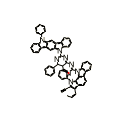 C#Cc1c(/C=C\C)c2ccc3c4ccccc4n(C4=NC5=NC(n6c7ccccc7c7cc8c(cc76)c6ccccc6n8-c6ccccc6)=NC(c6ccccc6)C5C=N4)c3c2n1-c1ccccc1